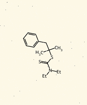 CCN(CC)C(=S)SC(C)(C)Cc1ccccc1